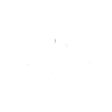 CC(C)(C)OC(=O)[C@H](Cc1cccc(Br)c1)[C@H]1CCN(C(=O)OC(C)(C)C)C1